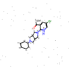 COC(=O)C1=CC(Br)=CNC1N1CC2CN(C3CCCCC3)CC2C1